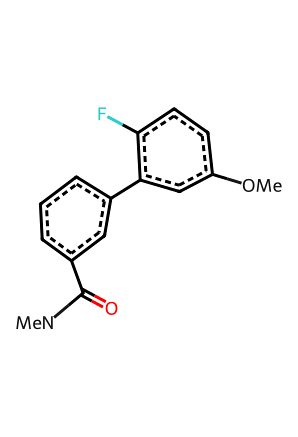 CNC(=O)c1cccc(-c2cc(OC)ccc2F)c1